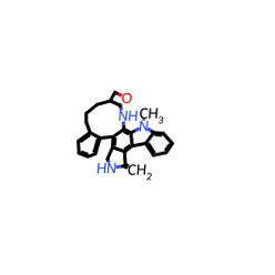 C=C1NCc2c3c(c4c(c21)c1ccccc1n4C)NC1OCC1CCCc1ccccc1-3